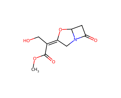 COC(=O)/C(CO)=C1\CN2C(=O)CC2O1